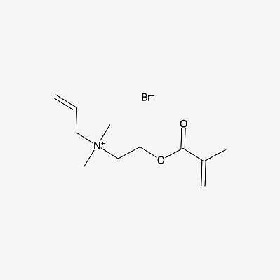 C=CC[N+](C)(C)CCOC(=O)C(=C)C.[Br-]